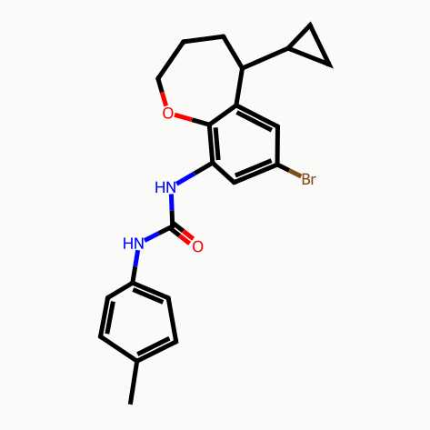 Cc1ccc(NC(=O)Nc2cc(Br)cc3c2OCCCC3C2CC2)cc1